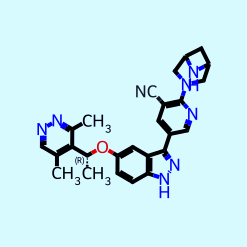 Cc1cnnc(C)c1[C@@H](C)Oc1ccc2[nH]nc(-c3cnc(N4CC5CC(C4)N5)c(C#N)c3)c2c1